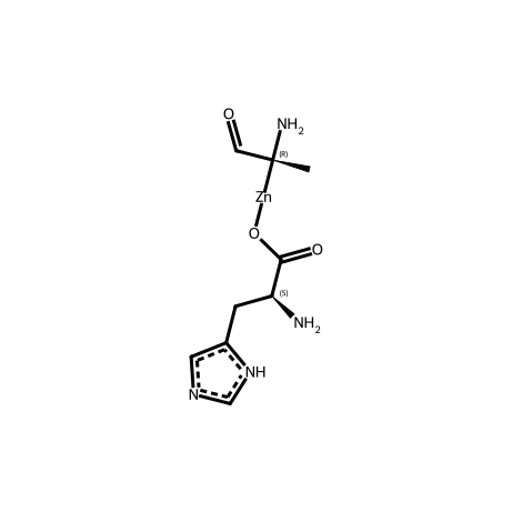 C[C@](N)(C=O)[Zn][O]C(=O)[C@@H](N)Cc1cnc[nH]1